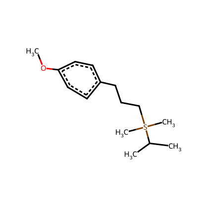 COc1ccc(CCCS(C)(C)C(C)C)cc1